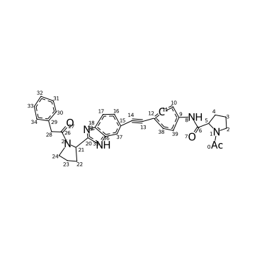 CC(=O)N1CCCC1C(=O)Nc1ccc(C#Cc2ccc3nc(C4CCCN4C(=O)Cc4ccccc4)[nH]c3c2)cc1